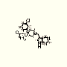 NC(=O)C1OC2(CCN(Cc3c[nH]c4ncncc34)CC2)c2cc(Cl)ccc21